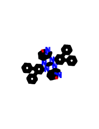 c1ccc(-c2cc3c(cc2-c2ccccc2)N(c2cccnc2)C(=C2N(c4cccnc4)c4cc(-c5ccccc5)c(-c5ccccc5)cc4N2c2cccnc2)N3c2cccnc2)cc1